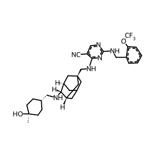 C[C@]1(O)CC[C@H](CN[C@@H]2[C@@H]3CC4C[C@H]2C[C@@](CNc2nc(NCc5ccccc5OC(F)(F)F)ncc2C#N)(C4)C3)CC1